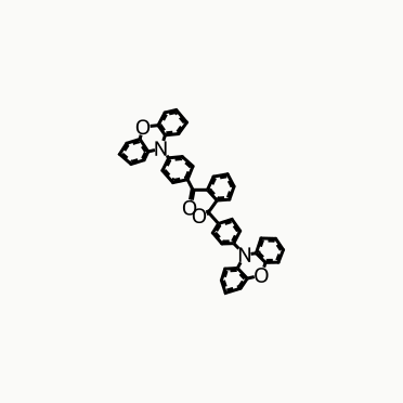 O=C(c1ccc(N2c3ccccc3Oc3ccccc32)cc1)c1ccccc1C(=O)c1ccc(N2c3ccccc3Oc3ccccc32)cc1